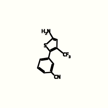 N#Cc1cccc(-c2sc(N)cc2C(F)(F)F)c1